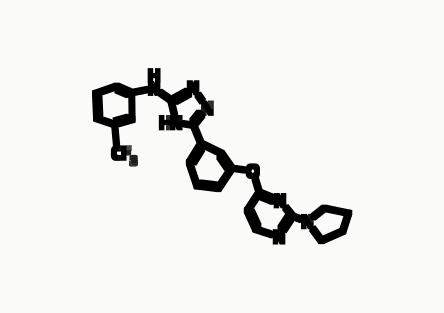 FC(F)(F)c1cccc(Nc2nnc(-c3cccc(Oc4ccnc(N5CCCC5)n4)c3)[nH]2)c1